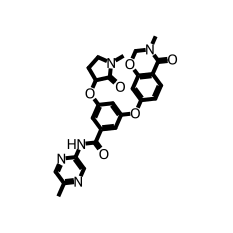 Cc1cnc(NC(=O)c2cc(Oc3ccc4c(c3)OCN(C)C4=O)cc(OC3CCN(C)C3=O)c2)cn1